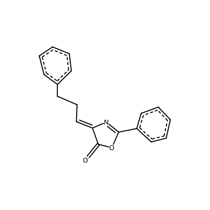 O=C1OC(c2ccccc2)=NC1=CCCc1ccccc1